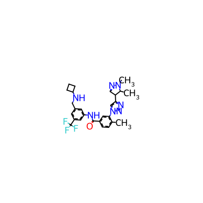 Cc1ccc(C(=O)Nc2cc(CNC3CCC3)cc(C(F)(F)F)c2)cc1-n1cc(C2C=NN(C)C2C)nn1